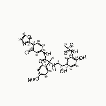 COc1ccc(C(C)(NC[C@@H](O)c2ccc(O)c(NS(C)(=O)=O)c2)C(=O)Nc2ccc(-c3ncco3)c(Cl)c2)cc1